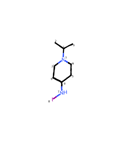 CC(C)N1CCC(NI)CC1